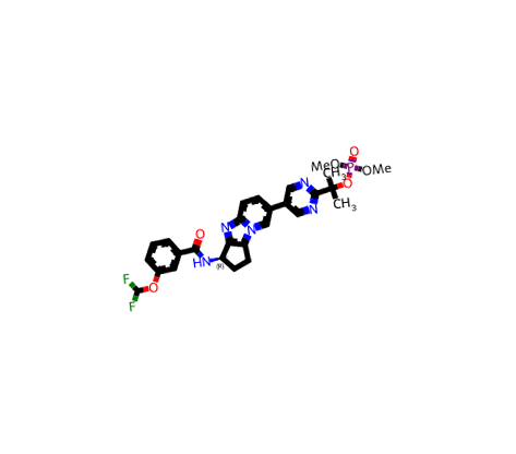 COP(=O)(OC)OC(C)(C)c1ncc(-c2ccc3nc4c(n3c2)CC[C@H]4NC(=O)c2cccc(OC(F)F)c2)cn1